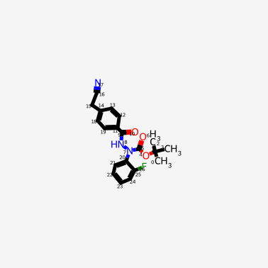 CC(C)(C)OC(=O)N(NC(=O)c1ccc(CC#N)cc1)c1ccccc1F